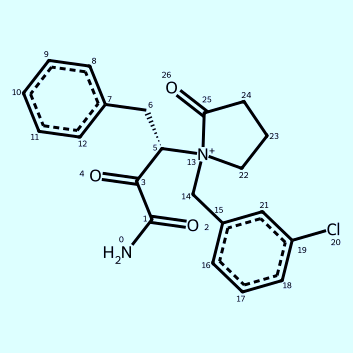 NC(=O)C(=O)[C@H](Cc1ccccc1)[N+]1(Cc2cccc(Cl)c2)CCCC1=O